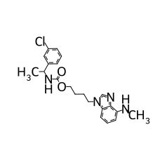 CNc1cccc2c1ncn2CCCCOC(=O)NC(C)c1cccc(Cl)c1